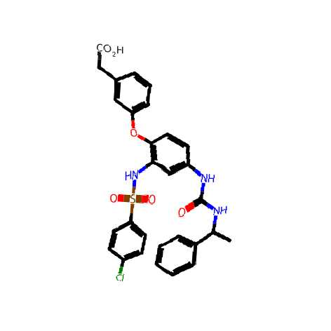 CC(NC(=O)Nc1ccc(Oc2cccc(CC(=O)O)c2)c(NS(=O)(=O)c2ccc(Cl)cc2)c1)c1ccccc1